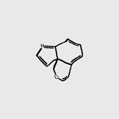 C1=CC2=NC=CC23COC=CC3=C1